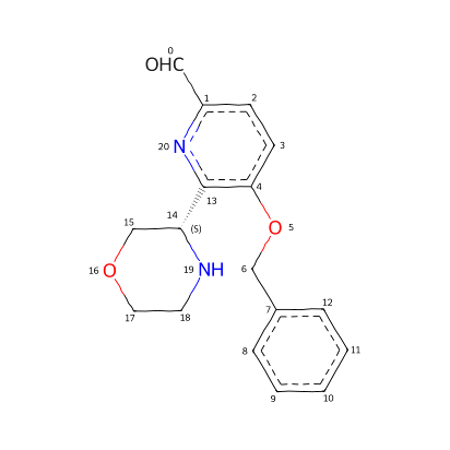 O=Cc1ccc(OCc2ccccc2)c([C@H]2COCCN2)n1